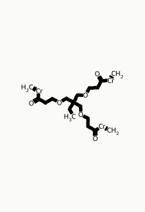 [CH2]=[Cr][C](=O)CCOCC(CC)(COCC[C](=O)[Cr]=[CH2])COCC[C](=O)[Cr]=[CH2]